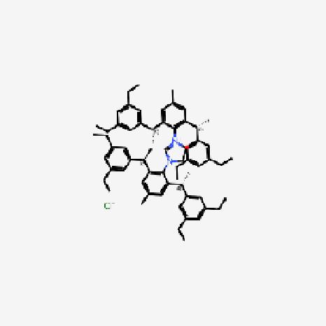 CCc1cc(CC)cc([C@@H](C)c2cc(C)cc([C@H](C)c3cc(CC)cc(CC)c3)c2N2C=[N+](c3c([C@H](C)c4cc(CC)cc(CC)c4)cc(C)cc3[C@H](C)c3cc(CC)cc(CC)c3)CC2)c1.[Cl-]